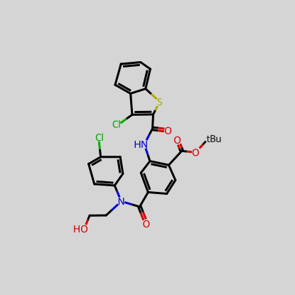 CC(C)(C)OC(=O)c1ccc(C(=O)N(CCO)c2ccc(Cl)cc2)cc1NC(=O)c1sc2ccccc2c1Cl